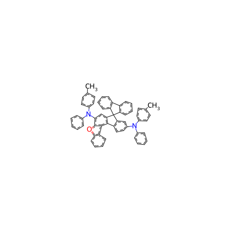 Cc1ccc(N(c2ccccc2)c2ccc3c(c2)C2(c4ccccc4-c4ccccc42)c2cc(N(c4ccccc4)c4ccc(C)cc4)c4oc5ccccc5c4c2-3)cc1